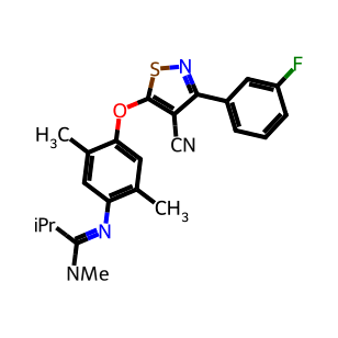 CNC(=Nc1cc(C)c(Oc2snc(-c3cccc(F)c3)c2C#N)cc1C)C(C)C